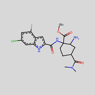 CN(C)C(=O)C1CCC(NC(=O)c2cc3c(F)cc(Cl)cc3[nH]2)(C(=O)OC(C)(C)C)C(N)C1